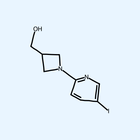 OCC1CN(c2ccc(I)cn2)C1